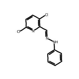 Clc1ccc(Cl)c(C=NNc2ccccc2)n1